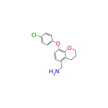 NCc1ccc(Oc2ccc(Cl)cc2)c2c1CCCO2